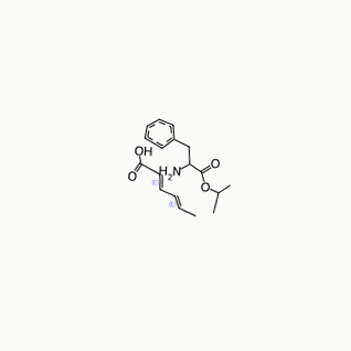 C/C=C/C=C/C(=O)O.CC(C)OC(=O)C(N)Cc1ccccc1